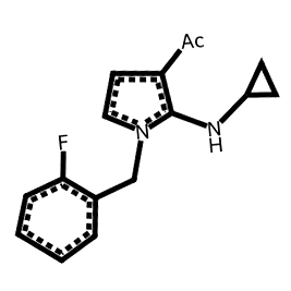 CC(=O)c1ccn(Cc2ccccc2F)c1NC1CC1